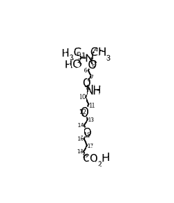 CC(O)N(C)OCCONCCOCCOCCCC(=O)O